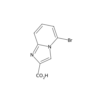 O=C(O)c1cn2c(Br)cccc2n1